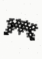 Cc1cc2c3c(c1)-c1cc4c(c5cccc(c15)B3c1cccc3c1c-2cc1c3c2ccccc2n1-c1ccc(C#N)cc1)c1ccccc1n4-c1ccc(C#N)cc1